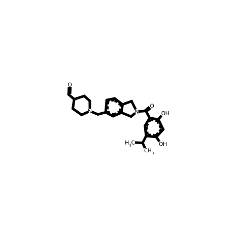 CC(C)c1cc(C(=O)N2Cc3ccc(CN4CCC(C=O)CC4)cc3C2)c(O)cc1O